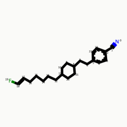 N#Cc1ccc(CCC2CCC(CCCCC/C=C/F)CC2)cc1